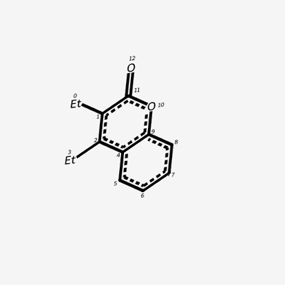 CCc1c(CC)c2cc[c]cc2oc1=O